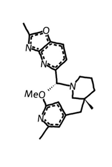 COc1cc(C[C@@]2(C)CCCN([C@H](C)c3ccc4oc(C)nc4n3)C2)cc(C)n1